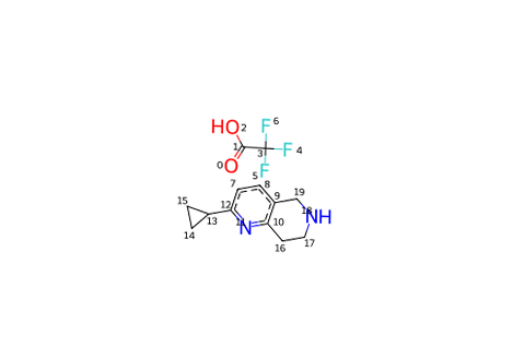 O=C(O)C(F)(F)F.c1cc2c(nc1C1CC1)CCNC2